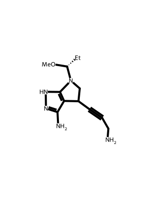 CC[C@@H](OC)N1CC(C#CCN)c2c(N)n[nH]c21